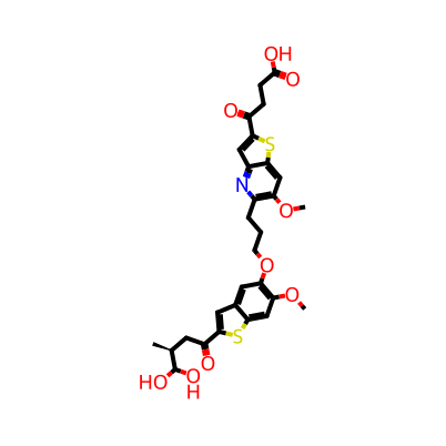 COc1cc2sc(C(=O)C[C@H](C)C(O)O)cc2cc1OCCCc1nc2cc(C(=O)CCC(=O)O)sc2cc1OC